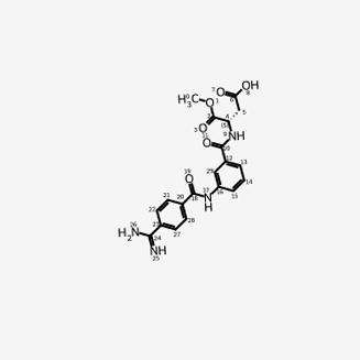 COC(=O)[C@H](CC(=O)O)NC(=O)c1cccc(NC(=O)c2ccc(C(=N)N)cc2)c1